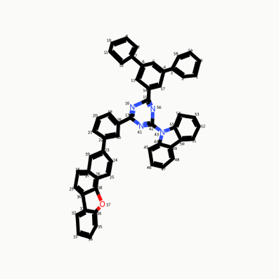 c1ccc(-c2cc(-c3ccccc3)cc(-c3nc(-c4cccc(-c5ccc6c(ccc7c8ccccc8oc67)c5)c4)nc(-n4c5ccccc5c5ccccc54)n3)c2)cc1